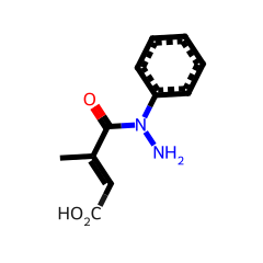 CC(=CC(=O)O)C(=O)N(N)c1ccccc1